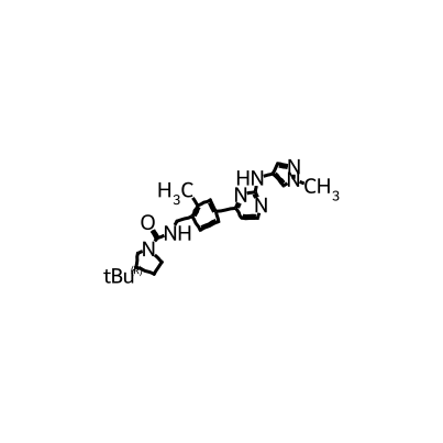 Cc1cc(-c2ccnc(Nc3cnn(C)c3)n2)ccc1CNC(=O)N1CC[C@H](C(C)(C)C)C1